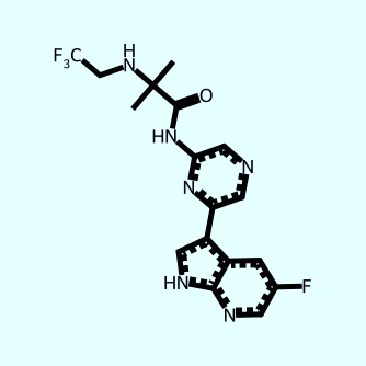 CC(C)(NCC(F)(F)F)C(=O)Nc1cncc(-c2c[nH]c3ncc(F)cc23)n1